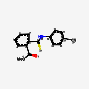 COC(=O)c1ccccc1C(=S)Nc1ccc(C#N)cc1